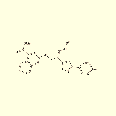 CCCON=C(COc1cc(C(=O)OC)c2ccccc2c1)c1cc(-c2ccc(F)cc2)no1